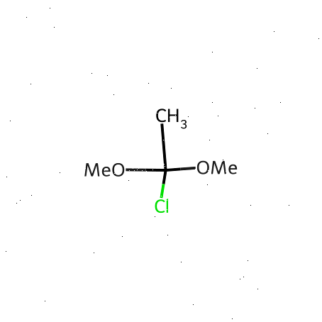 COC(C)(Cl)OC